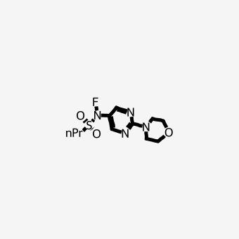 CCCS(=O)(=O)N(F)c1cnc(N2CCOCC2)nc1